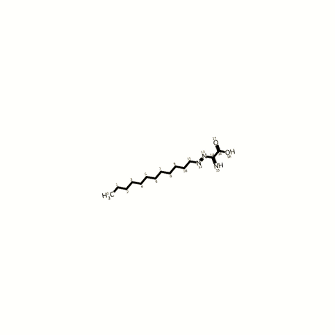 CCCCCCCCCCCCN=NC(=N)C(=O)O